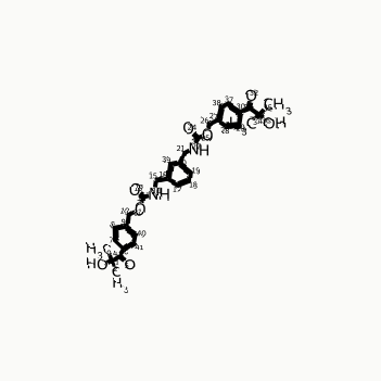 CC(C)(O)C(=O)c1ccc(COC(=O)NCc2cccc(CNC(=O)OCc3ccc(C(=O)C(C)(C)O)cc3)c2)cc1